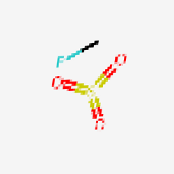 CF.O=S(=O)=O